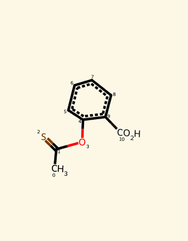 CC(=S)Oc1ccccc1C(=O)O